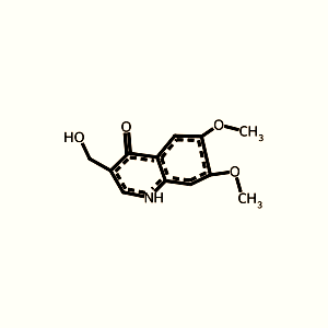 COc1cc2[nH]cc(CO)c(=O)c2cc1OC